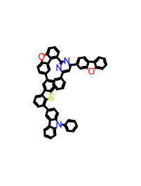 c1ccc(-c2cc(-c3ccc4c(c3)oc3ccccc34)nc(-c3cccc4oc5ccc(-c6ccc7sc8c(-c9ccc%10c(c9)c9ccccc9n%10-c9ccccc9)cccc8c7c6)cc5c34)n2)cc1